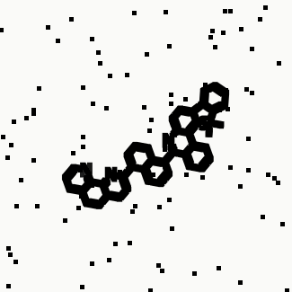 C[Si]1(C)c2ccccc2-c2ccc3nc(-c4cccc5c(-c6ccc7ccc8cccnc8c7n6)cccc45)c4ccccc4c3c21